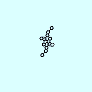 C1=Cc2c(c3c4ccccc4c4c(c5ccccc5c5c6ccccc6n(-c6ccc7cc(-c8ccccc8)ccc7c6)c54)c3n2-c2ccc3cc(-c4ccccc4)ccc3c2)CC1